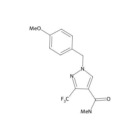 CNC(=O)c1cn(Cc2ccc(OC)cc2)nc1C(F)(F)F